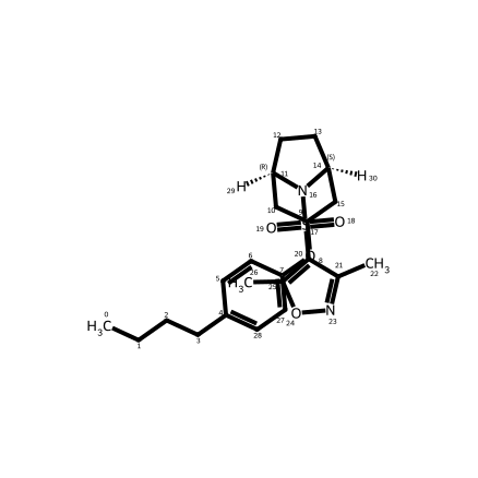 CCCCc1ccc(OC2C[C@H]3CC[C@@H](C2)N3S(=O)(=O)c2c(C)noc2C)cc1